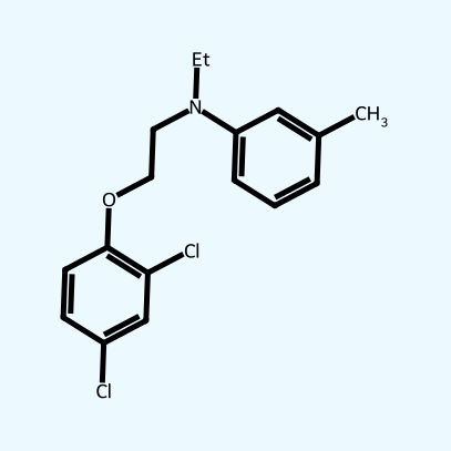 CCN(CCOc1ccc(Cl)cc1Cl)c1cccc(C)c1